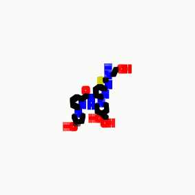 O=C(Nc1cc2sc(NCCO)nc2nc1N1CCC(O)(CO)CC1)c1cccc(N2CC[C@H](O)C2)n1